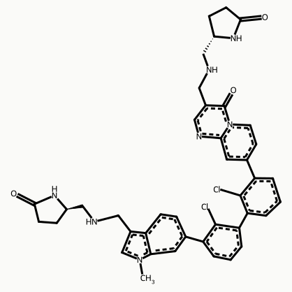 Cn1cc(CNC[C@H]2CCC(=O)N2)c2ccc(-c3cccc(-c4cccc(-c5ccn6c(=O)c(CNC[C@@H]7CCC(=O)N7)cnc6c5)c4Cl)c3Cl)cc21